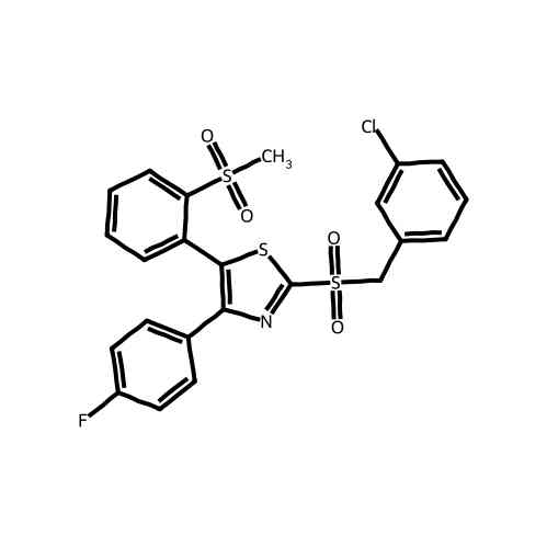 CS(=O)(=O)c1ccccc1-c1sc(S(=O)(=O)Cc2cccc(Cl)c2)nc1-c1ccc(F)cc1